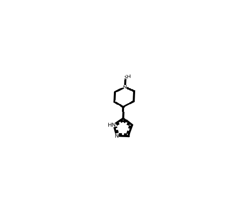 SN1CCC(c2ccn[nH]2)CC1